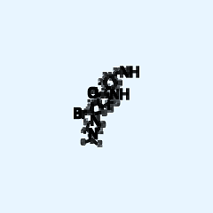 CC(C)N1CCN(c2cc3c(cc2Br)C(=O)c2c([nH]c4cc(C=N)ccc24)C3(C)C)CC1